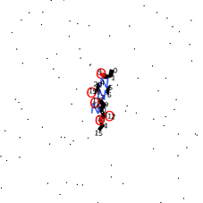 C=CC(=O)N1CCN(c2cc(C(=O)OCC)no2)C(=O)C1